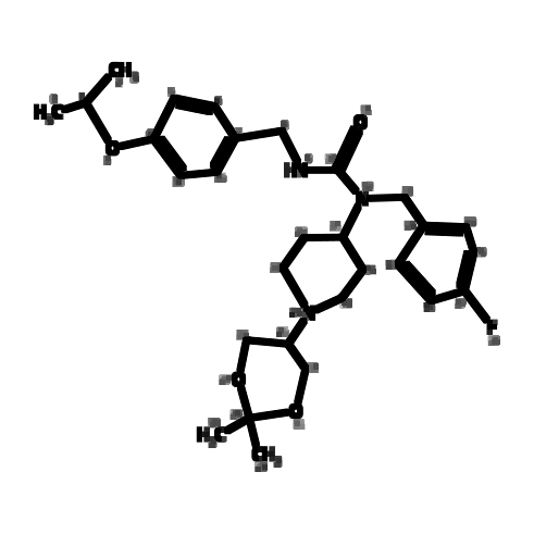 CC(C)Oc1ccc(CNC(=O)N(Cc2ccc(F)cc2)C2CCN(C3COC(C)(C)OC3)CC2)cc1